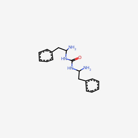 NC(Cc1ccccc1)NC(=O)NC(N)Cc1ccccc1